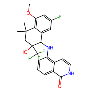 COc1cc(F)cc2c1C(C)(C)CC(O)(C(F)(F)F)C2Nc1cccc2c(=O)[nH]ccc12